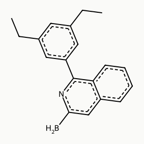 Bc1cc2ccccc2c(-c2cc(CC)cc(CC)c2)n1